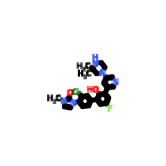 Cn1ccn(-c2ccc(-c3cc(F)cc(-c4cncc(N5CCNC(C)(C)C5)c4)c3O)cc2Cl)c1=O